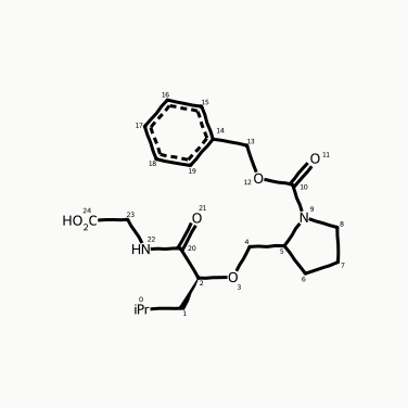 CC(C)C[C@H](OCC1CCCN1C(=O)OCc1ccccc1)C(=O)NCC(=O)O